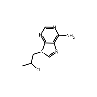 CC(Cl)Cn1cnc2c(N)ncnc21